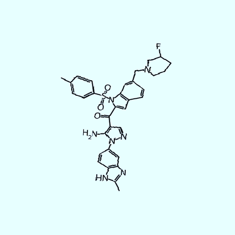 Cc1ccc(S(=O)(=O)n2c(C(=O)c3cnn(-c4ccc5[nH]c(C)nc5c4)c3N)cc3ccc(CN4CCCC(F)C4)cc32)cc1